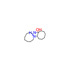 NC1(O)CCCCCCC1N1CCCCCCCC1